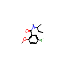 CCC(C)N(C)C(=O)c1cc(F)ccc1OC